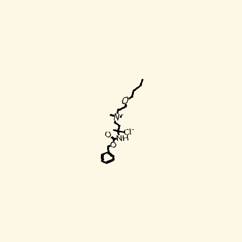 CCCCOCC[N+](C)(C)CCC(C)(C)NC(=O)OCc1ccccc1.[Cl-]